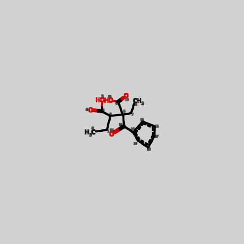 CCC(C(=O)O)C(CC)(C(=O)O)C(=O)c1ccccc1